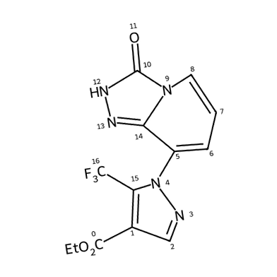 CCOC(=O)c1cnn(-c2cccn3c(=O)[nH]nc23)c1C(F)(F)F